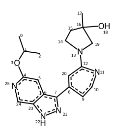 CC(C)Oc1cc2c(-c3ccnc(N4CCC(C)(O)C4)c3)n[nH]c2cn1